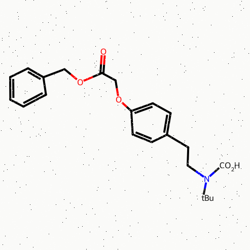 CC(C)(C)N(CCc1ccc(OCC(=O)OCc2ccccc2)cc1)C(=O)O